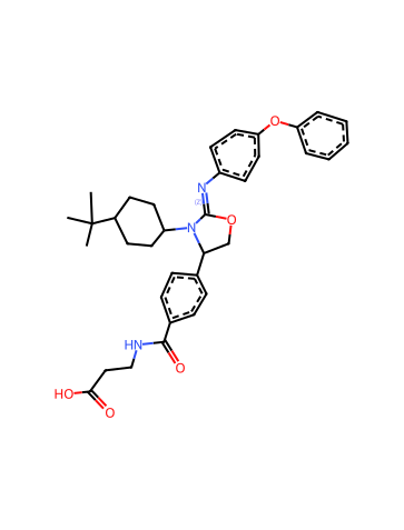 CC(C)(C)C1CCC(N2/C(=N/c3ccc(Oc4ccccc4)cc3)OCC2c2ccc(C(=O)NCCC(=O)O)cc2)CC1